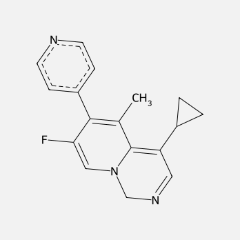 CC1=C(c2ccncc2)C(F)=CN2CN=CC(C3CC3)=C12